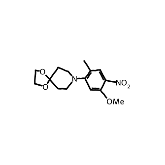 COc1cc(N2CCC3(CC2)OCCO3)c(C)cc1[N+](=O)[O-]